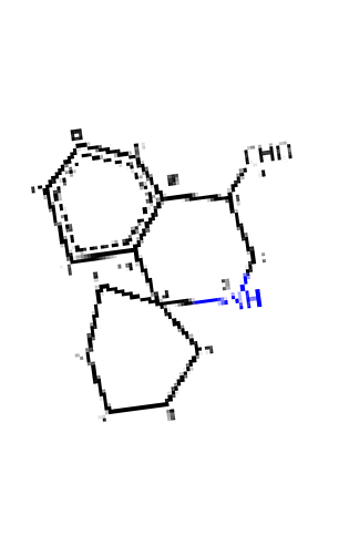 O=CC1CNC2(CCCCC2)c2ccccc21